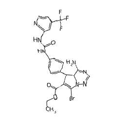 CCOC(=O)C1=C(Br)N2N=CN=C(N)C2C1c1ccc(NC(=O)Nc2cc(C(F)(F)F)ccn2)cc1